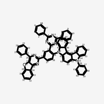 c1ccc(-c2nc(-c3ccccc3)nc(-c3cc(-c4nc(-c5ccccc5)c5oc6ccccc6c5n4)ccc3-n3c4ccccc4c4c5c6ccccc6n(-c6ccccc6)c5ccc43)n2)cc1